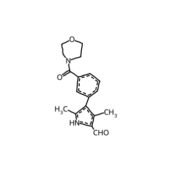 Cc1[nH]c(C=O)c(C)c1-c1cccc(C(=O)N2CCOCC2)c1